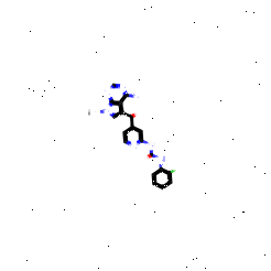 CC(C)n1cc(C(=O)c2ccnc(NC(=O)Nc3ccccc3Cl)c2)c2c(N)ncnc21